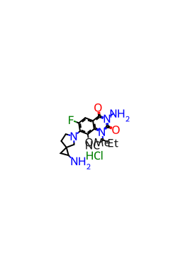 CCC(C#N)n1c(=O)n(N)c(=O)c2cc(F)c(N3CCC4(CC4N)C3)c(OC)c21.Cl